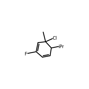 CC(C)C1C=CC(F)=CC1(C)Cl